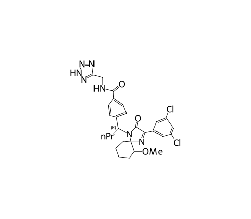 CCC[C@H](c1ccc(C(=O)NCc2nn[nH]n2)cc1)N1C(=O)C(c2cc(Cl)cc(Cl)c2)=NC12CCCCC2OC